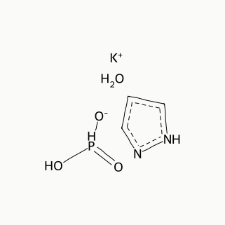 O.O=[PH]([O-])O.[K+].c1cn[nH]c1